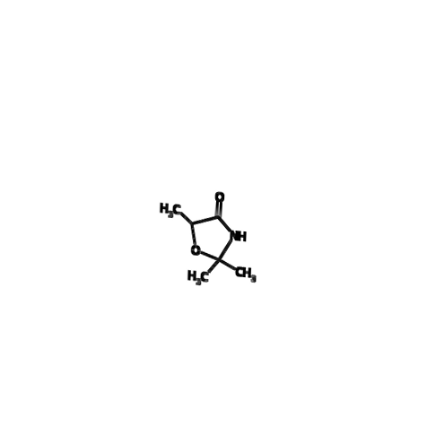 CC1OC(C)(C)NC1=O